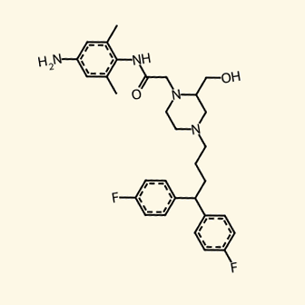 Cc1cc(N)cc(C)c1NC(=O)CN1CCN(CCCC(c2ccc(F)cc2)c2ccc(F)cc2)CC1CO